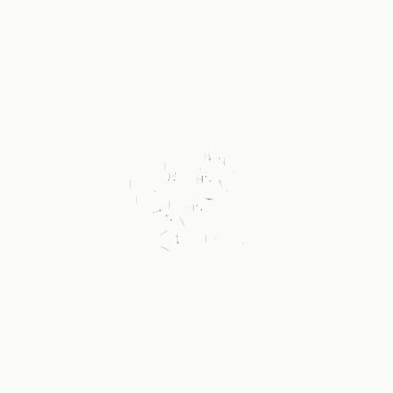 CC[C@H](C)[C@H](NC(=O)[C@H](C)N(C(=O)OC(C)(C)C)C1CCCCC1)C(=O)N[C@@H](Cc1cn(C(=O)OC(C)(C)C)c2ccccc12)[C@@H](O)[C@@H](O)CC(C)C